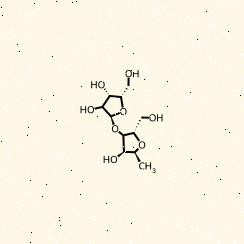 C[C@@H]1O[C@@H](CO)C(O[C@@H]2O[C@@H](CO)[C@@H](O)C2O)[C@@H]1O